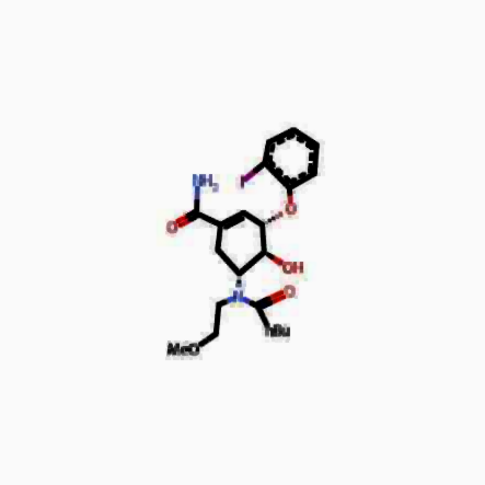 CCCCC(=O)N(CCOC)[C@@H]1CC(C(N)=O)=C[C@H](Oc2ccccc2I)[C@H]1O